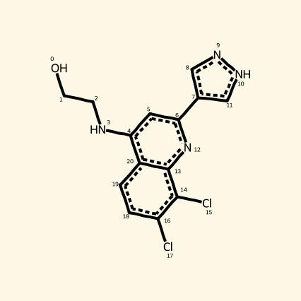 OCCNc1cc(-c2cn[nH]c2)nc2c(Cl)c(Cl)ccc12